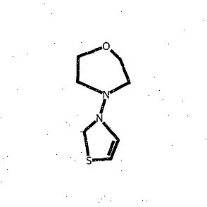 [CH]1SC=CN1N1CCOCC1